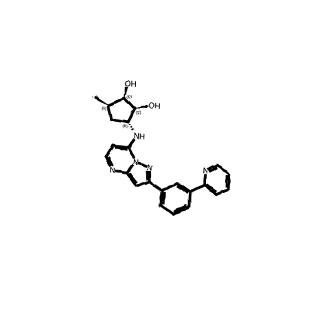 [CH2][C@@H]1C[C@@H](Nc2ccnc3cc(-c4cccc(-c5ccccn5)c4)nn23)[C@H](O)[C@@H]1O